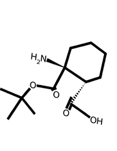 CC(C)(C)OC(=O)[C@]1(N)CCCC[C@@H]1C(=O)O